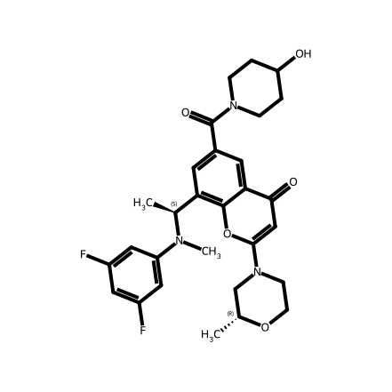 C[C@@H]1CN(c2cc(=O)c3cc(C(=O)N4CCC(O)CC4)cc([C@H](C)N(C)c4cc(F)cc(F)c4)c3o2)CCO1